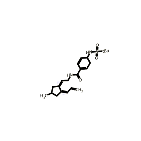 C=C/C=C1/CC(C)C/C1=C/CNC(=O)C1=CCC(NS(=O)(=O)C(C)(C)C)C=C1